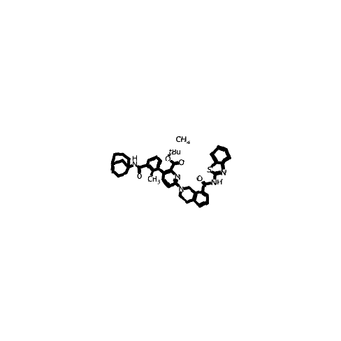 C.Cc1c(C(=O)NC23CCCC(CCC2)C3)cccc1-c1ccc(N2CCc3cccc(C(=O)Nc4nc5ccccc5s4)c3C2)nc1C(=O)OC(C)(C)C